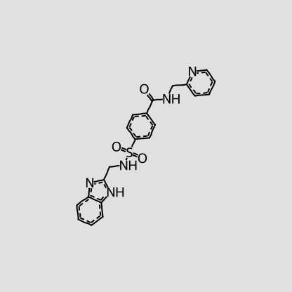 O=C(NCc1ccccn1)c1ccc(S(=O)(=O)NCc2nc3ccccc3[nH]2)cc1